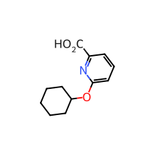 O=C(O)c1cccc(OC2CCCCC2)n1